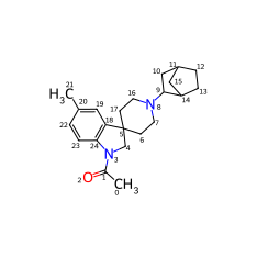 CC(=O)N1CC2(CCN(C3CC4CCC3C4)CC2)c2cc(C)ccc21